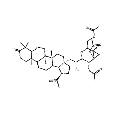 C=C(C)[C@@H]1CC[C@]2(C[C@@H](O)[C@@H]3OC(COC(C)=O)[C@@H]4CC4(OC(C)=O)C3OC(C)=O)CC[C@]3(C)C(CCC4[C@@]5(C)CCC(=O)C(C)(C)C5CC[C@]43C)C12